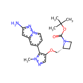 Cn1ncc(OC[C@H]2CCN2C(=O)OC(C)(C)C)c1-c1ccn2nc(N)cc2c1